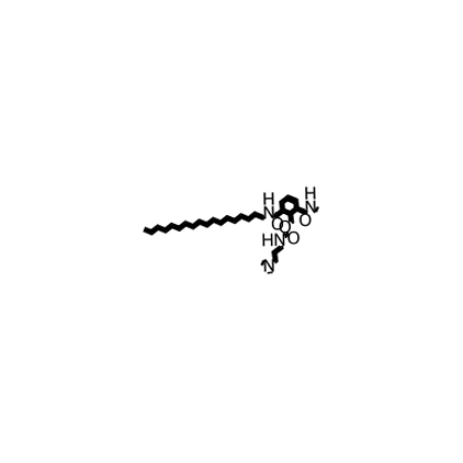 CCCCCCCCCCCCCCCCCCNC(=O)C1CC=CC(C(=O)NC)C1COC(=O)NCCCN(C)C